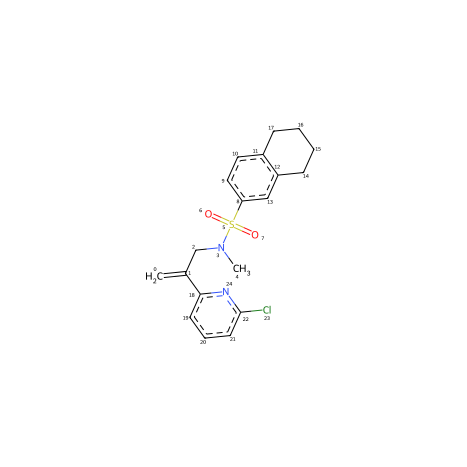 C=C(CN(C)S(=O)(=O)c1ccc2c(c1)CCCC2)c1cccc(Cl)n1